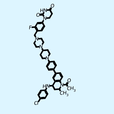 CC(=O)N1c2ccc(-c3ccc(N4CCC(N5CCN(Cc6ccc(N7CCC(=O)NC7=O)cc6F)CC5)CC4)cc3)cc2C(Nc2ccc(Cl)cc2)CC1C